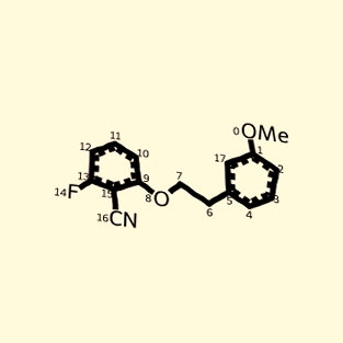 COc1cccc(CCOc2cccc(F)c2C#N)c1